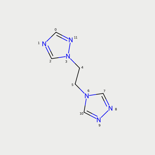 c1ncn(CCn2cnnc2)n1